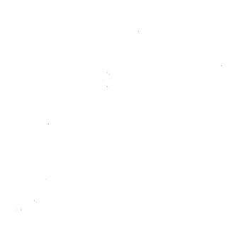 CCCCNC(=O)Nc1ccc(NS(=O)(=O)c2ccc(/N=N/C3=C(O)C(CCOCCO)C(=O)C(C#N)=C3F)cc2)cc1